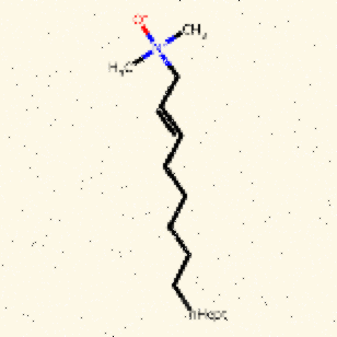 CCCCCCCCCCCCC=CC[N+](C)(C)[O-]